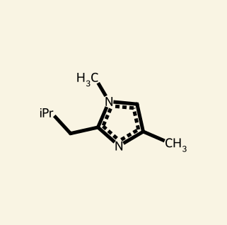 Cc1cn(C)c(CC(C)C)n1